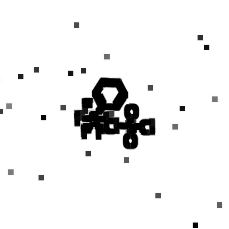 FS(F)(F)(F)(F)c1ccccc1.O=S(=O)(Cl)Cl